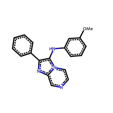 COc1cccc(Nc2c(-c3ccccc3)nc3cnccn23)c1